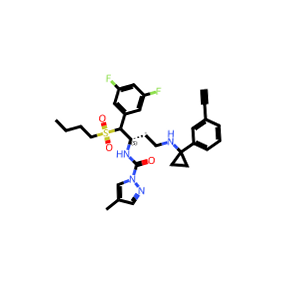 C#Cc1cccc(C2(NC[CH][C@H](NC(=O)n3cc(C)cn3)C(c3cc(F)cc(F)c3)S(=O)(=O)CCCC)CC2)c1